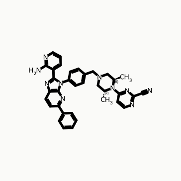 C[C@@H]1CN(Cc2ccc(-n3c(-c4cccnc4N)nc4ccc(-c5ccccc5)nc43)cc2)C[C@@H](C)N1c1ccnc(C#N)n1